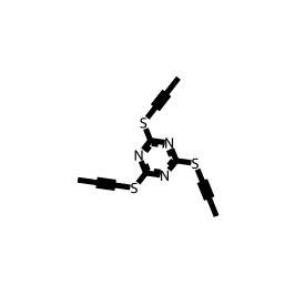 CC#CSc1nc(SC#CC)nc(SC#CC)n1